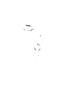 O=C=Nc1ccc2c(c1)NC(CC(=O)O)C(=O)N(CCc1ccccc1)C2